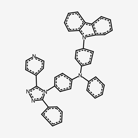 c1ccc(-c2nnc(-c3ccncc3)n2-c2ccc(N(c3ccccc3)c3ccc(-n4c5ccccc5c5ccccc54)cc3)cc2)cc1